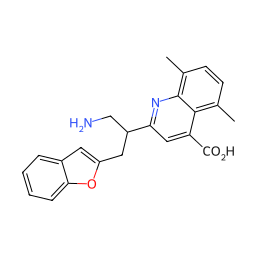 Cc1ccc(C)c2c(C(=O)O)cc(C(CN)Cc3cc4ccccc4o3)nc12